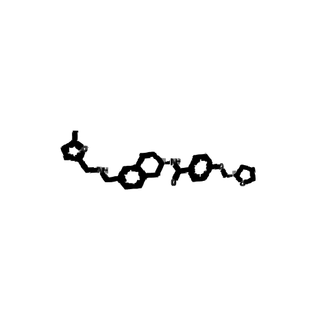 Cc1ccc(CNCc2ccc3c(c2)CC[C@H](NC(=O)c2ccc(OC[C@@H]4CCCO4)cc2)C3)o1